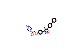 Cc1c(-c2ccc(OCC(=O)N3CCN(C)CC3)cc2)noc1-c1ccc(-c2ccccc2)cc1